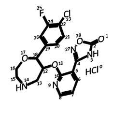 Cl.O=c1[nH]c(-c2cccnc2OC2CNCCOC2c2ccc(Cl)c(F)c2)no1